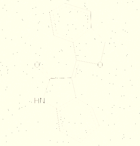 O=C1Nc2ccccc2C1=C1OCc2ccccc21